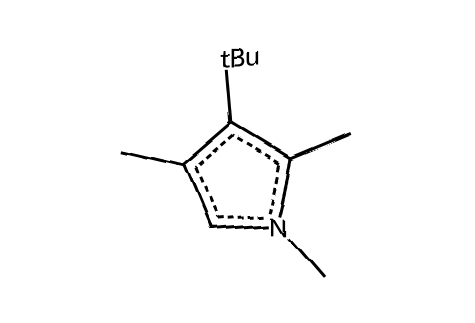 Cc1cn(C)c(C)c1C(C)(C)C